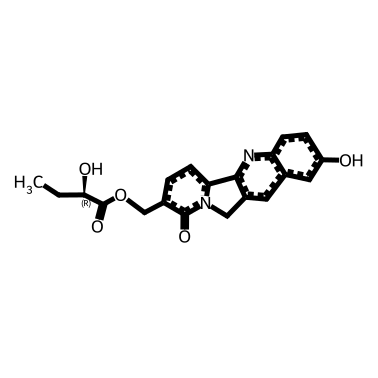 CC[C@@H](O)C(=O)OCc1ccc2n(c1=O)Cc1cc3cc(O)ccc3nc1-2